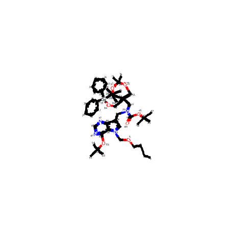 CCCCOCn1cc(CN(CC2(CO[Si](c3ccccc3)(c3ccccc3)C(C)(C)C)COC(C)(C)OC2)C(=O)OC(C)(C)C)c2ncnc(OC(C)(C)C)c21